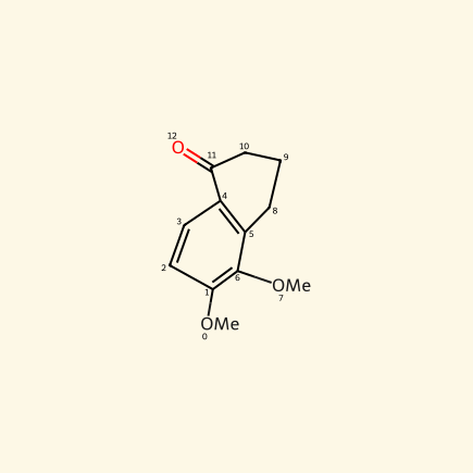 COc1ccc2c(c1OC)CCCC2=O